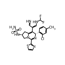 Cc1ccc([C@@H]2N=C(c3nccs3)N3C[C@@H](NS(N)(=O)=O)CC3=C2/C(C=N)=C/NC(F)F)c(Cl)c1